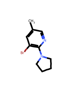 Cc1cnc(N2CCCC2)c(Br)c1